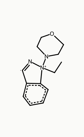 CC[N+]1(N2CCOCC2)N=[C]c2ccccc21